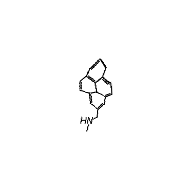 CNCC1=CC2=CC=C3CC=CC4=C3C2C(=C1)C=C4